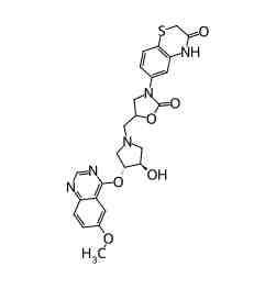 COc1ccc2ncnc(O[C@@H]3CN(CC4CN(c5ccc6c(c5)NC(=O)CS6)C(=O)O4)C[C@H]3O)c2c1